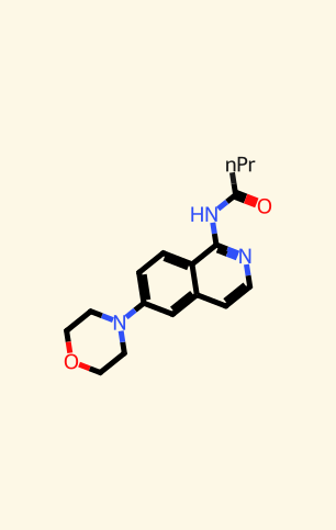 CCCC(=O)Nc1nccc2cc(N3CCOCC3)ccc12